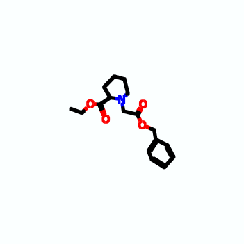 CCOC(=O)C1CCCCN1CC(=O)OCc1ccccc1